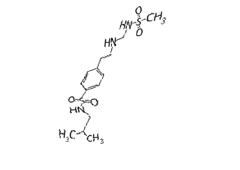 CC(C)CNS(=O)(=O)c1ccc(CCNCNS(C)(=O)=O)cc1